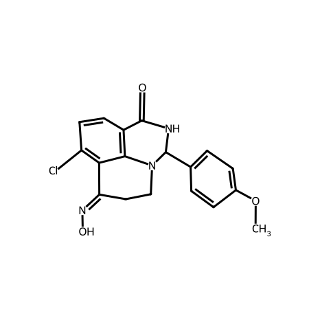 COc1ccc(C2NC(=O)c3ccc(Cl)c4c3N2CC/C4=N\O)cc1